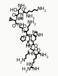 N=C(N)NCC/C=C(\NC(=O)[C@H](CCCCN)NC(=O)[C@H](Cc1cnc[nH]1)NC(=O)[C@@H]1CCCN1C(=O)/C(CCCN)=N/C(=O)CNC(=O)C(NC(=O)[C@@H](NC(=O)[C@@H](N)CCCCN)[C@@H](O)CN)C1CC1)C(N)=O